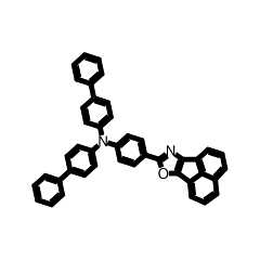 c1ccc(-c2ccc(N(c3ccc(-c4ccccc4)cc3)c3ccc(-c4nc5c(o4)-c4cccc6cccc-5c46)cc3)cc2)cc1